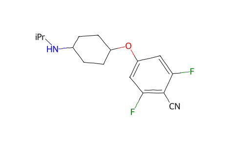 CC(C)NC1CCC(Oc2cc(F)c(C#N)c(F)c2)CC1